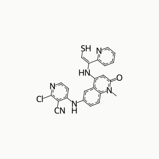 Cn1c(=O)cc(NC(=CS)c2ccccn2)c2cc(Nc3ccnc(Cl)c3C#N)ccc21